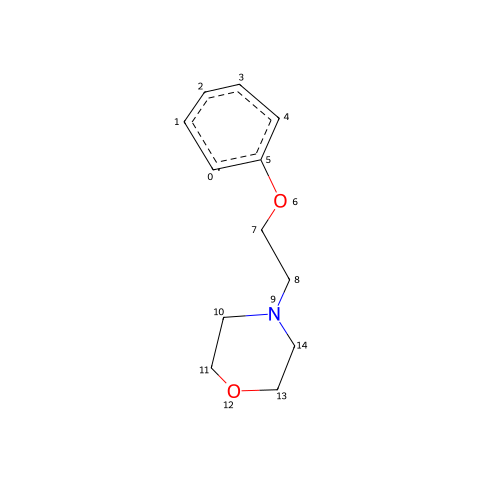 [c]1ccccc1OCCN1CCOCC1